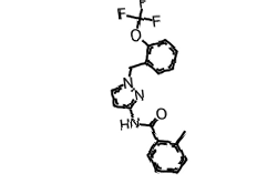 Cc1ccccc1C(=O)Nc1ccn(Cc2ccccc2OC(F)(F)F)n1